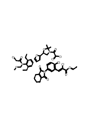 CC1(C)OC(c2ccco2)CN1C(=O)C(Cl)Cl.CCOC(=O)/C(Cl)=C/c1cc(N2C(=O)C3=C(CCCC3)C2=O)ccc1Cl.CCc1cccc(CC)c1N(COC)C(=O)CCl